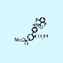 CCOC(=O)C1=C(c2ccc(NC(=O)c3c(F)cccc3F)cc2)CCN(C(=O)OC)CC1